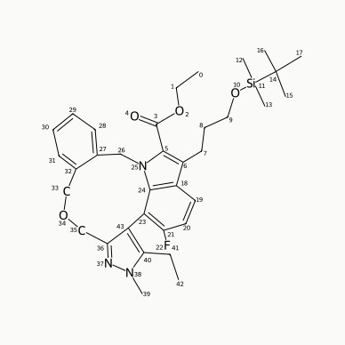 CCOC(=O)c1c(CCCO[Si](C)(C)C(C)(C)C)c2ccc(F)c3c2n1Cc1ccccc1COCc1nn(C)c(CC)c1-3